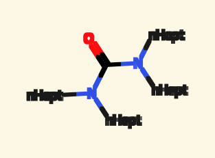 CCCCCCCN(CCCCCCC)C(=O)N(CCCCCCC)CCCCCCC